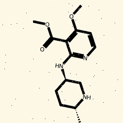 COC(=O)c1c(OC)ccnc1N[C@@H]1CC[C@@H](C)NC1